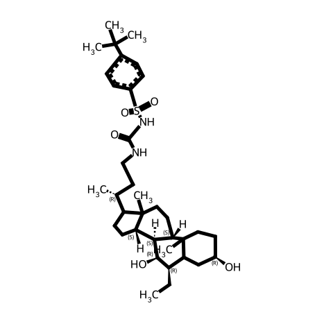 CC[C@@H]1C2C[C@H](O)CCC2(C)[C@H]2CCC3(C)C([C@H](C)CCNC(=O)NS(=O)(=O)c4ccc(C(C)(C)C)cc4)CC[C@H]3[C@@H]2[C@@H]1O